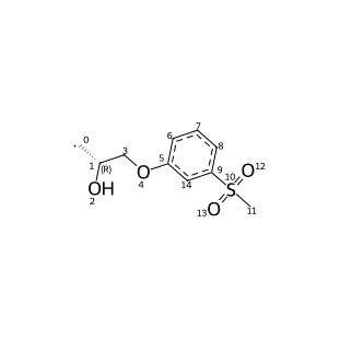 [CH2][C@@H](O)COc1cccc(S(C)(=O)=O)c1